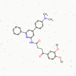 CCOc1ccc(C(=O)CCC(=O)Nc2cc(-c3ccc(N(C)C)cc3)cc(-c3ccccc3)n2)cc1OCC